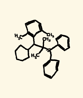 Cc1cccc(C)c1C(C1CCCCC1)C(C)(C)[Si](c1ccccc1)c1ccccc1